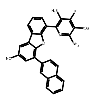 Bc1nc(-c2cccc3c2oc2c(-c4ccc5ccccc5c4)cc(C#N)cc23)c(B)c(F)c1C(C)(C)C